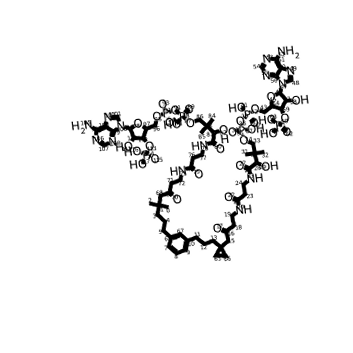 CC(C)(CCCc1cccc(CCCC2(CC(=O)CCNC(=O)CCNC(=O)C(O)C(C)(C)COP(=O)(O)OP(=O)(O)OCC3OC(n4cnc5c(N)ncnc54)C(O)C3OP(=O)(O)O)CC2)c1)CC(=O)CCNC(=O)CCNC(=O)C(O)C(C)(C)COP(=O)(O)OP(=O)(O)OCC1OC(n2cnc3c(N)ncnc32)C(O)C1OP(=O)(O)O